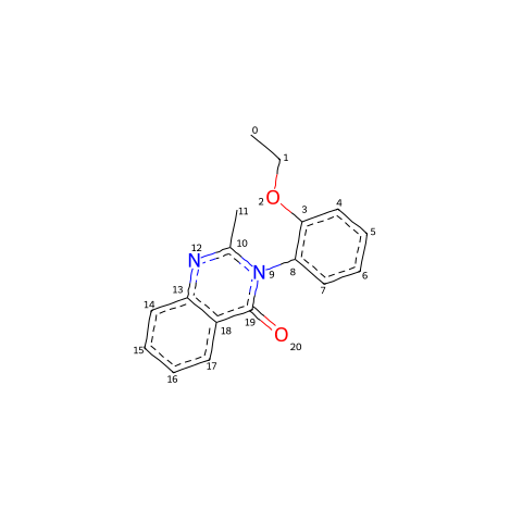 CCOc1ccccc1-n1c(C)nc2ccccc2c1=O